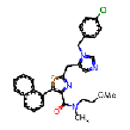 COCCN(C)C(=O)c1nc(Cc2cncn2Cc2ccc(Cl)cc2)sc1-c1cccc2ccccc12